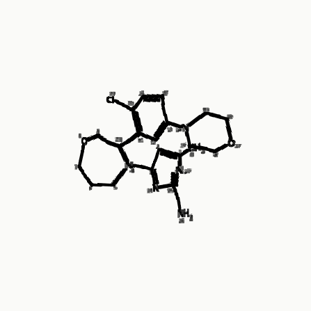 Cc1cc(N2CCCOCC2c2cc(N3CCOCC3)ccc2Cl)nc(N)n1